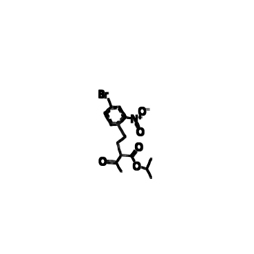 CC(=O)C(CCc1ccc(Br)cc1[N+](=O)[O-])C(=O)OC(C)C